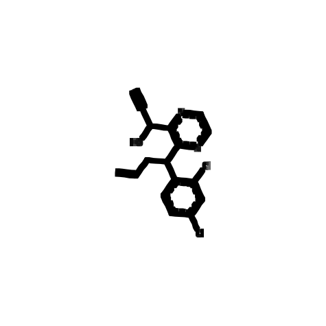 C#CC(O)c1nccnc1C(CC=C)c1ccc(Cl)cc1Cl